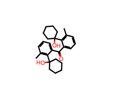 Cc1cccc(C(=O)c2cccc(C)c2C2(O)CCCCC2)c1C1(O)CCCCC1